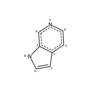 C1=Cc2ccncc2[N]1